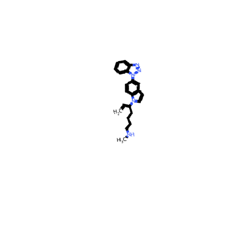 C=CC(CCCCNC)n1ccc2cc(-n3nnc4ccccc43)ccc21